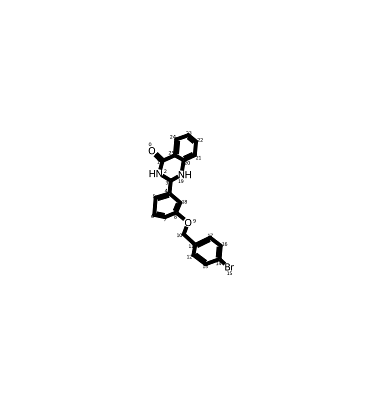 O=C1NC(c2cccc(OCc3ccc(Br)cc3)c2)Nc2ccccc21